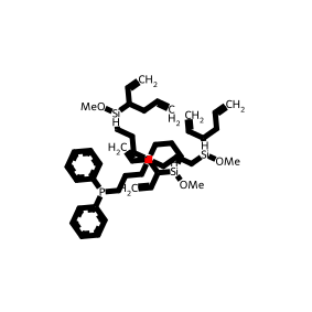 C=CCC(C=C)[SiH](CCC[Si](CCC[SiH](OC)C(C=C)CC=C)(CCC[SiH](OC)C(C=C)CC=C)CCCP(c1ccccc1)c1ccccc1)OC